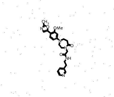 COc1cc(N2CCC(=O)N(CC(=O)NCCc3cccnc3)CC2)ccc1-c1cnc(C)o1